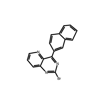 Brc1nc(-c2ccc3ccccc3c2)c2ncccc2n1